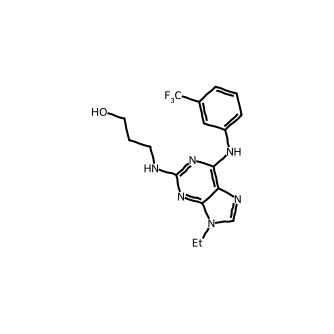 CCn1cnc2c(Nc3cccc(C(F)(F)F)c3)nc(NCCCO)nc21